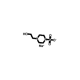 O=S(=O)([O-])N1CCN(CCO)CC1.[Na+]